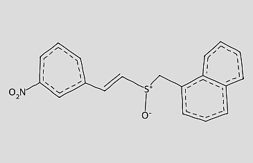 O=[N+]([O-])c1cccc(/C=C/[S+]([O-])Cc2cccc3ccccc23)c1